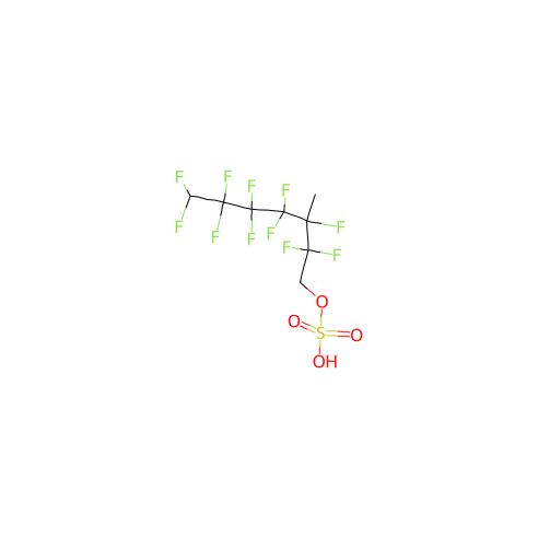 CC(F)(C(F)(F)COS(=O)(=O)O)C(F)(F)C(F)(F)C(F)(F)C(F)F